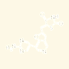 Nc1ncc(-c2cncc3cc(/C=C4\SC(=O)NC4=O)oc23)cn1